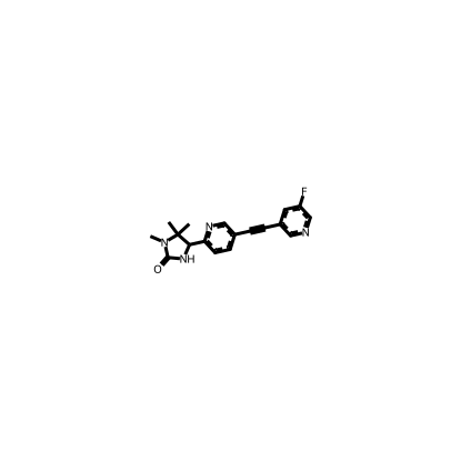 CN1C(=O)NC(c2ccc(C#Cc3cncc(F)c3)cn2)C1(C)C